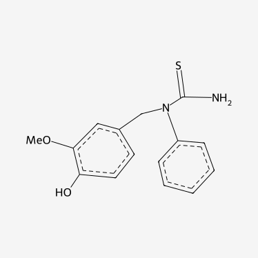 COc1cc(CN(C(N)=S)c2ccccc2)ccc1O